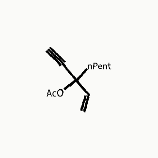 C#CC(C=C)(CCCCC)OC(C)=O